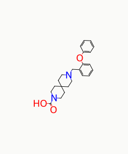 O=C(O)N1CCC2(CCN(Cc3ccccc3Oc3ccccc3)CC2)CC1